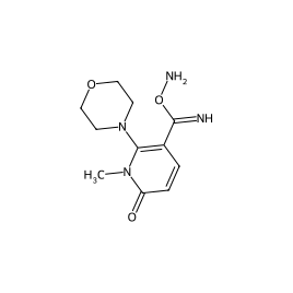 Cn1c(N2CCOCC2)c(C(=N)ON)ccc1=O